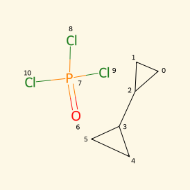 C1CC1C1CC1.O=P(Cl)(Cl)Cl